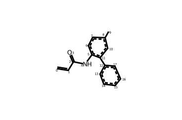 C=CC(=O)Nc1ccc(C)cc1-c1ccccc1